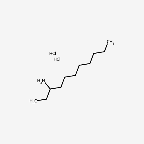 CCCCCCCCC(N)CC.Cl.Cl